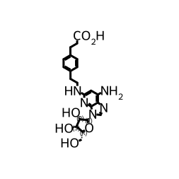 Nc1cc(NCCc2ccc(CCC(=O)O)cc2)nc2c1ncn2[C@@H]1O[C@H](CO)[C@@H](O)[C@H]1O